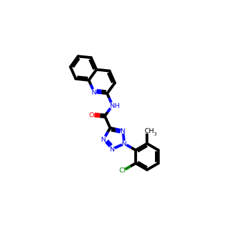 Cc1cccc(Cl)c1-n1nnc(C(=O)Nc2ccc3ccccc3n2)n1